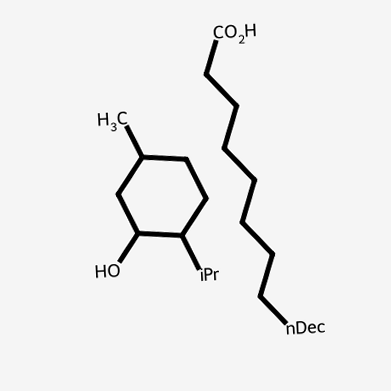 CC1CCC(C(C)C)C(O)C1.CCCCCCCCCCCCCCCCCC(=O)O